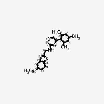 Bc1cc(C)c(-c2cnnc(NCc3nc4cc(OC)ccc4s3)n2)c(C)c1